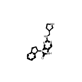 O=c1[nH]c2cnc(NCC3CCNC3)nc2n1C1CCc2ccccc21